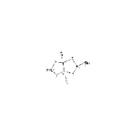 CC(C)(C)N1C[C@H]2CNC[C@H]2C1